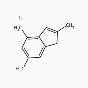 CC1=Cc2c(C)cc(C)cc2C1.[Li]